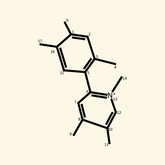 Cc1cc(C)c(-c2cc(C)c(C)c[n+]2C)cc1C